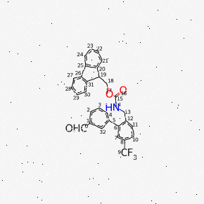 O=Cc1cccc(-c2cc(C(F)(F)F)ccc2CNC(=O)OCC2c3ccccc3-c3ccccc32)c1